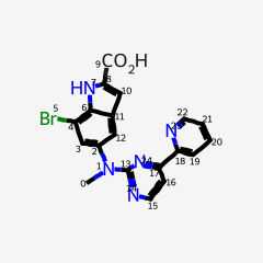 CN(c1cc(Br)c2[nH]c(C(=O)O)cc2c1)c1nccc(-c2ccccn2)n1